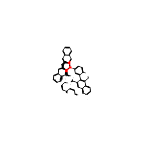 C=C/C=C\C(=C)/C=C\C/N=C(\N=C(/N)c1ccccc1)c1cc2ccccc2c2c1-c1cc(-n3c4cc5ccccc5cc4c4cc5ccccc5cc43)ccc1OC2